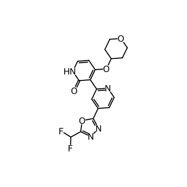 O=c1[nH]ccc(OC2CCOCC2)c1-c1cc(-c2nnc(C(F)F)o2)ccn1